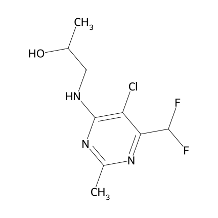 Cc1nc(NCC(C)O)c(Cl)c(C(F)F)n1